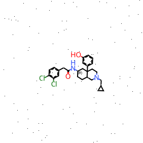 O=C(Cc1ccc(Cl)c(Cl)c1)N[C@@H]1CCC2CN(CC3CC3)CCC2(c2cccc(O)c2)C1